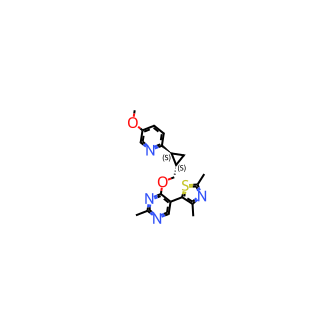 COc1ccc([C@H]2C[C@@H]2COc2nc(C)ncc2-c2sc(C)nc2C)nc1